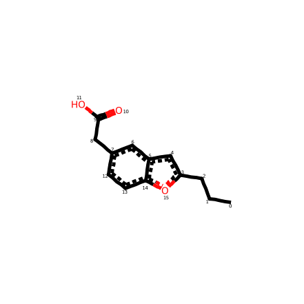 CCCc1cc2cc(CC(=O)O)ccc2o1